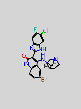 O=c1[nH]c2ccc(Br)cc2c(N[C@@H]2CN3CCC2CC3)c1-c1nc2cc(F)c(Cl)cc2[nH]1